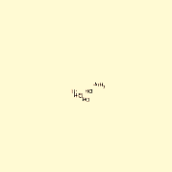 Cl.Cl.Cl.[AsH3].[H+]